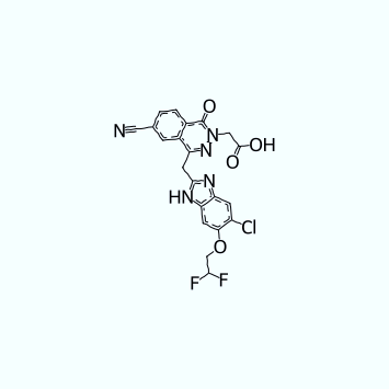 N#Cc1ccc2c(=O)n(CC(=O)O)nc(Cc3nc4cc(Cl)c(OCC(F)F)cc4[nH]3)c2c1